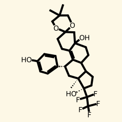 CC1(C)COC2(CCC3=C4C(CCC3(O)C2)C2CC[C@@](O)(C(F)(F)C(F)(F)F)[C@@]2(C)C[C@@H]4c2ccc(O)cc2)OC1